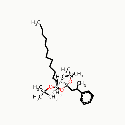 CCCCCCCCCCCC[Si](C)(O[Si](C)(C)C)O[Si](C)(CC(C)c1ccccc1)O[Si](C)(C)C